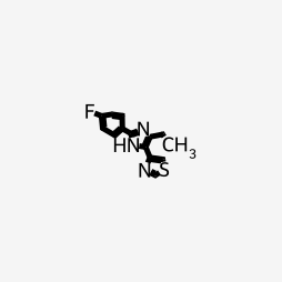 CCc1nc(-c2ccc(F)cc2)[nH]c1-c1cscn1